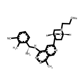 COCCN1C[C@H]2CC[C@@H]1CN2c1cc2c(N[C@H](N)c3cccc(C#N)c3C)nnc(C)c2cn1